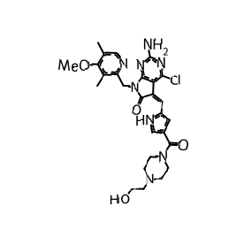 COc1c(C)cnc(CN2C(=O)C(=Cc3cc(C(=O)N4CCN(CCO)CC4)c[nH]3)c3c(Cl)nc(N)nc32)c1C